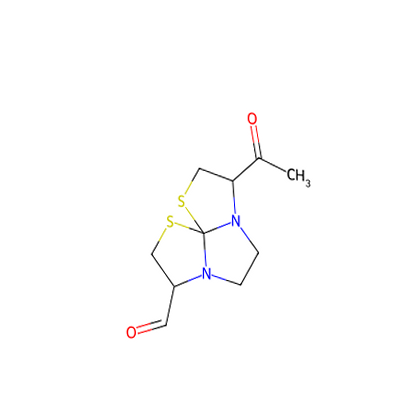 CC(=O)C1CSC23SCC(C=O)N2CCN13